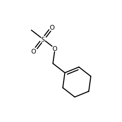 CS(=O)(=O)OCC1=CCCCC1